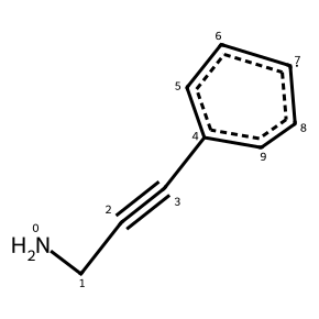 NCC#Cc1cc[c]cc1